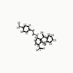 C=C(C)c1ccc(CCCc2ccc(CC)cc2)c2c1Sc1ccccc1C2=C